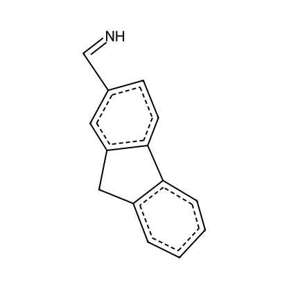 N=Cc1ccc2c(c1)Cc1ccccc1-2